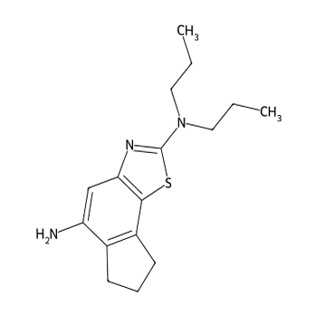 CCCN(CCC)c1nc2cc(N)c3c(c2s1)CCC3